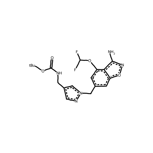 CC(C)(C)OC(=O)NCc1cnn(Cc2cc(OC(F)F)c3c(N)noc3c2)c1